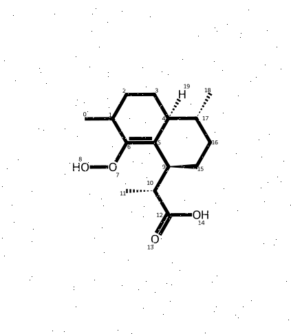 CC1CC[C@@H]2C(=C1OO)[C@H]([C@@H](C)C(=O)O)CC[C@H]2C